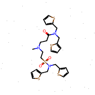 CN(CCC(=O)N(Cc1cccs1)Cc1cccs1)CCS(=O)(=O)N(Cc1cccs1)Cc1cccs1